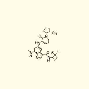 CNc1cc(Nc2cccn([C@@H]3CCC[C@@H]3O)c2=O)nc2c(C(=O)NC3CCC3(F)F)cnn12